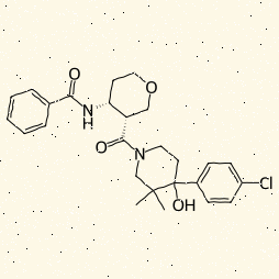 CC1(C)CN(C(=O)[C@H]2COCC[C@H]2NC(=O)c2ccccc2)CCC1(O)c1ccc(Cl)cc1